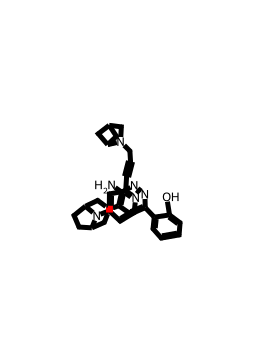 Nc1nnc(-c2ccccc2O)cc1N1CC2CCC(C1)N2c1ccnc(C#CCN2CC3CC2C3)c1